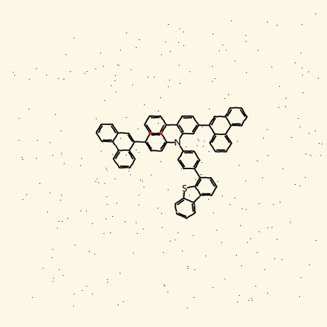 c1ccc(-c2ccc(-c3cc4ccccc4c4ccccc34)cc2N(c2ccc(-c3cc4ccccc4c4ccccc34)cc2)c2ccc(-c3cccc4c3sc3ccccc34)cc2)cc1